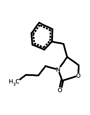 CCCCN1C(=O)OCC1Cc1ccccc1